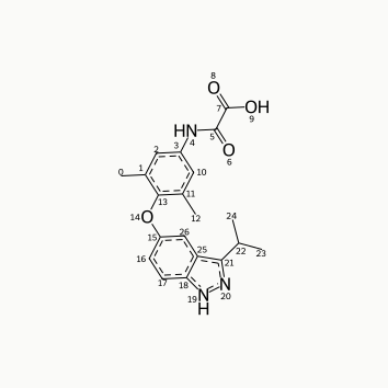 Cc1cc(NC(=O)C(=O)O)cc(C)c1Oc1ccc2[nH]nc(C(C)C)c2c1